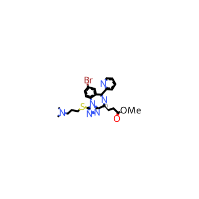 COC(=O)CC[C@@H]1N=C(c2ccccn2)c2cc(Br)ccc2-n2c(SCCCN(C)C)nnc21